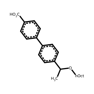 CCCCCCCCOC(C)c1ccc(-c2ccc(C(=O)O)cc2)cc1